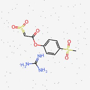 CS(=O)(=O)c1ccc(OC(=O)C=S(=O)=O)cc1.N=C(N)N